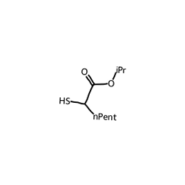 CCCCCC(S)C(=O)OC(C)C